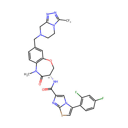 CN1C(=O)[C@@H](NC(=O)c2cn3c(-c4ccc(F)cc4F)csc3n2)COc2cc(CN3CCn4c(nnc4C(F)(F)F)C3)ccc21